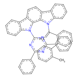 C=C(c1ccccc1-c1ccccc1C)n1c2ccccc2c2ccc3c4ccccc4n(-c4nc(-c5ccccc5)nc(-c5ccccc5)n4)c3c21